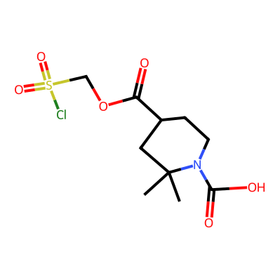 CC1(C)CC(C(=O)OCS(=O)(=O)Cl)CCN1C(=O)O